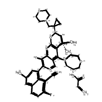 C#Cc1c(F)ccc2cc(O)cc(-c3ncc4c(N5CCOC[C@H](NC(=O)C=C)C5)c5c(nc4c3F)O[C@@H](C3(CN4CCOCC4)CC3)C[C@@]5(C)O)c12